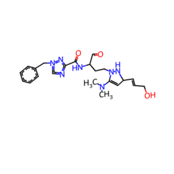 CN(C)C1=CC(/C=C/CO)NN1CCC(C=O)NC(=O)c1ncn(Cc2ccccc2)n1